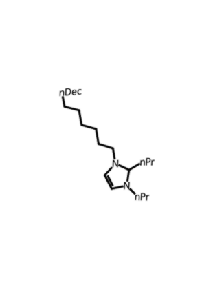 CCCCCCCCCCCCCCCCN1C=CN(CCC)C1CCC